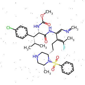 C=N/C=C(NC(=O)[C@@H](NC(=O)OC)[C@@H](c1ccc(Cl)cc1)C(C)C)\C(CC[C@H]1CNC[C@@H](C)N1S(=O)(=O)c1ccccc1)=C(/C)F